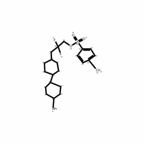 CCCC1CCC(C2CCC(CC(F)(F)COS(=O)(=O)c3ccc(C)cc3)CC2)CC1